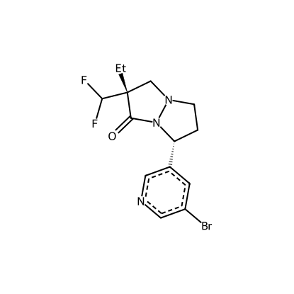 CC[C@@]1(C(F)F)CN2CC[C@H](c3cncc(Br)c3)N2C1=O